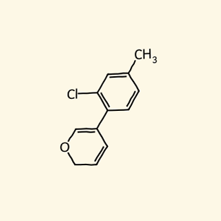 Cc1ccc(C2=COCC=C2)c(Cl)c1